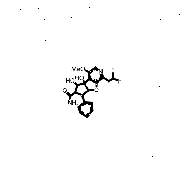 COc1cnc(CC(F)F)c2c1C1(O)C(O)C(C(N)=O)C(c3ccccc3)C1O2